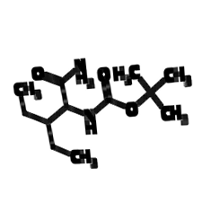 CCC(CC)C(NC(=O)OC(C)(C)C)C(N)=O